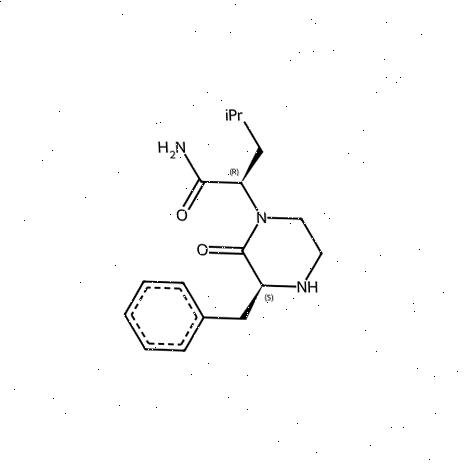 CC(C)C[C@H](C(N)=O)N1CCN[C@@H](Cc2ccccc2)C1=O